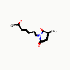 CC(C)(C)C(=O)CCCCCN1C(=O)CC(C(C)(C)C)C1=O